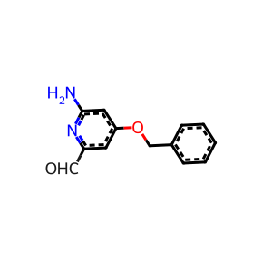 Nc1cc(OCc2ccccc2)cc(C=O)n1